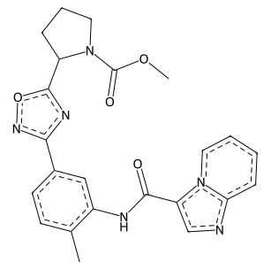 COC(=O)N1CCCC1c1nc(-c2ccc(C)c(NC(=O)c3cnc4ccccn34)c2)no1